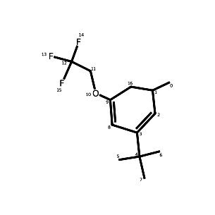 CC1C=C(C(C)(C)C)C=C(OCC(F)(F)F)C1